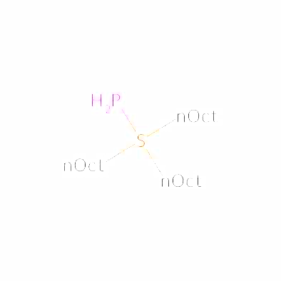 CCCCCCCCS(P)(CCCCCCCC)CCCCCCCC